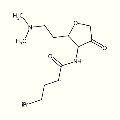 CC(C)CC[CH]C(=O)NC1C(=O)COC1CCN(C)C